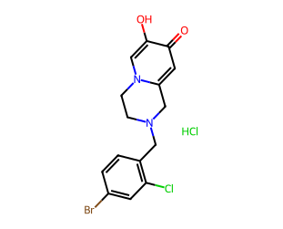 Cl.O=c1cc2n(cc1O)CCN(Cc1ccc(Br)cc1Cl)C2